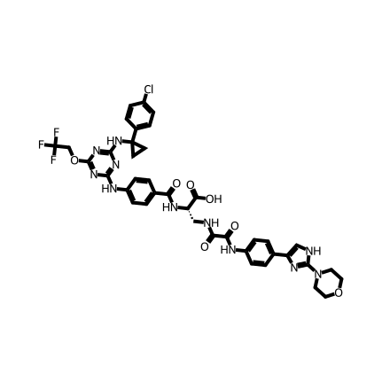 O=C(NC[C@H](NC(=O)c1ccc(Nc2nc(NC3(c4ccc(Cl)cc4)CC3)nc(OCC(F)(F)F)n2)cc1)C(=O)O)C(=O)Nc1ccc(-c2c[nH]c(N3CCOCC3)n2)cc1